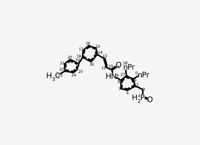 CCCc1c(C[PH2]=O)ccc(NC(=O)C=Cc2cccc(-c3ccc(C)cc3)c2)c1CCC